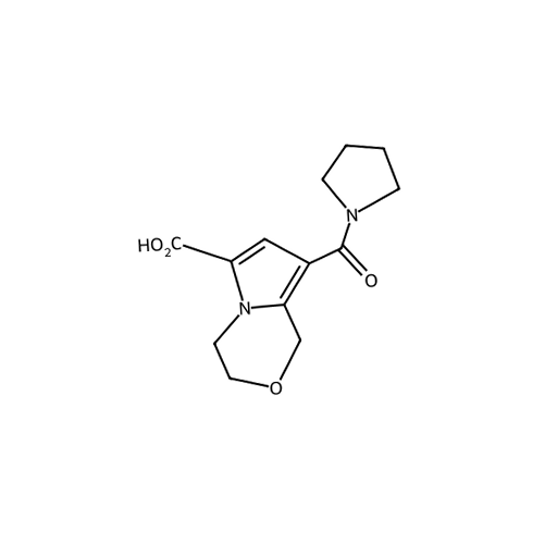 O=C(O)c1cc(C(=O)N2CCCC2)c2n1CCOC2